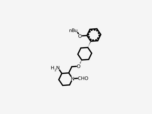 CCCCOc1ccccc1[C@H]1CC[C@@H](OCC2C(N)CCCN2C=O)CC1